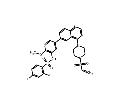 C=CS(=O)(=O)N1CCN(c2ncnc3ccc(-c4cnc(OC)c(NS(=O)(=O)c5ccc(F)cc5F)c4)cc23)CC1